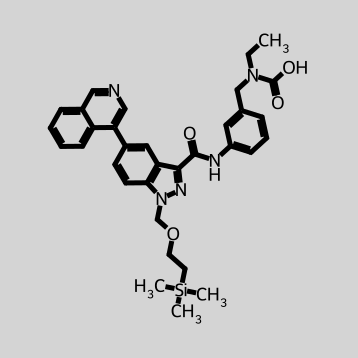 CCN(Cc1cccc(NC(=O)c2nn(COCC[Si](C)(C)C)c3ccc(-c4cncc5ccccc45)cc23)c1)C(=O)O